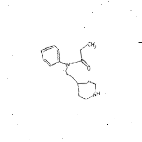 CCC(=O)N(CC1CCNCC1)c1ccccc1